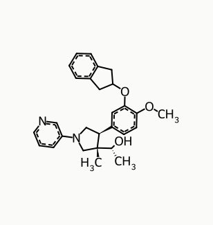 COc1ccc([C@@H]2CN(c3cccnc3)C[C@@]2(C)[C@@H](C)O)cc1OC1Cc2ccccc2C1